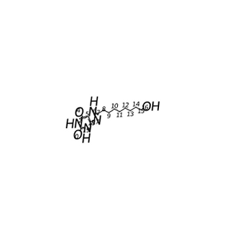 O=c1[nH]c(=O)c2[nH]c(CCCCCCCCO)nc2[nH]1